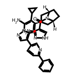 Nc1n[nH]cc1C(=O)N1[C@@H]2CC[C@H]1C[C@H](c1nc3c(-c4ccc(-c5ccccc5)nc4)cnn3c(N)c1C1CC1)C2